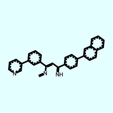 C=N/C(=C\C(=N)c1ccc(-c2ccc3ccccc3c2)cc1)c1cccc(-c2cccnc2)c1